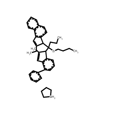 C1CC[SiH2]C1.CCC[CH2][Zr][C](CCC)(C1C(C)=Cc2c(-c3ccccc3)cccc21)C1C(CC)=Cc2c1ccc1ccccc21